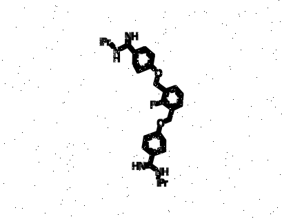 CC(C)NC(=N)c1ccc(OCc2cccc(COc3ccc(C(=N)NC(C)C)cc3)c2F)cc1